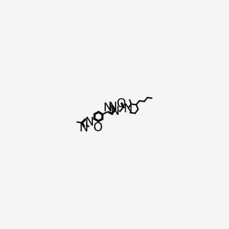 CCCCC1CCCN(C(=O)Cn2cc(-c3ccc(-n4cnc(C)c4)c(OC)c3)nn2)C1C